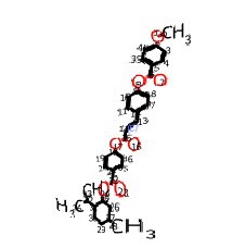 COc1ccc(C(=O)Oc2ccc(/C=C/C(=O)Oc3ccc(C(=O)OC4CC(C)CCC4C(C)C)cc3)cc2)cc1